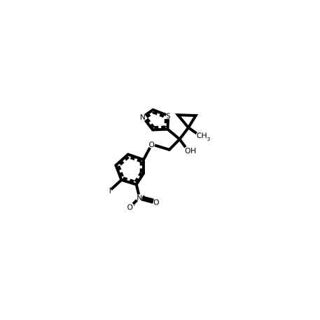 CC1(C(O)(COc2ccc(I)c([N+](=O)[O-])c2)c2cncs2)CC1